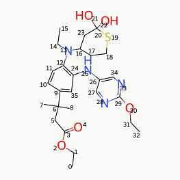 CCOC(=O)CC(C)(C)c1ccc(N(CC)C2CCSC(O)(O)C2)c(Nc2cnc(OCC)nc2)c1